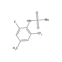 Cc1cc(F)c(NS(=O)(=O)C(C)(C)C)c(C(F)(F)F)c1